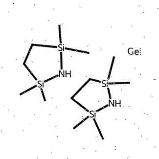 C[Si]1(C)CC[Si](C)(C)N1.C[Si]1(C)CC[Si](C)(C)N1.[Ge]